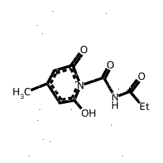 CCC(=O)NC(=O)n1c(O)cc(C)cc1=O